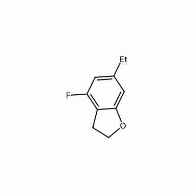 [CH2]Cc1cc(F)c2c(c1)OCC2